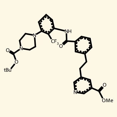 COC(=O)c1cncc(CCc2cccc(C(=O)Nc3cccc(N4CCN(C(=O)OC(C)(C)C)CC4)c3C(F)(F)F)c2)c1